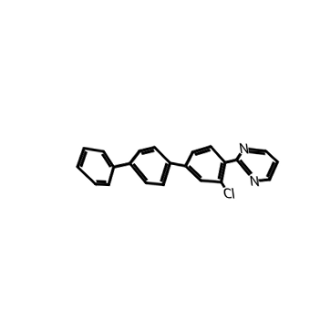 Clc1cc(-c2ccc(-c3ccccc3)cc2)ccc1-c1ncccn1